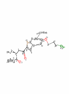 COC(=O)[C@@H](C)CC(=O)c1cc2cc(OCCCBr)c(OC)cc2s1